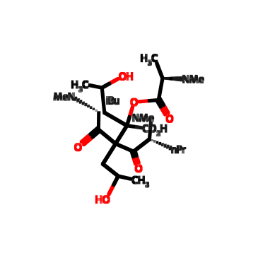 CCC[C@@H](NC)C(=O)C(CC(C)O)(C(=O)[C@H](NC)[C@H](C)CC)C(CC(C)O)(OC(=O)[C@@H](C)NC)C(=O)O